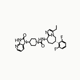 CCc1cnc2n1C[C@H](c1c(F)cccc1F)CC[C@H]2NC(=O)N1CCC(n2c(=O)[nH]c3ncccc32)CC1